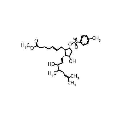 COC(=O)CCCC=CC[C@@H]1[C@@H](C=C[C@H](O)C(C)CC=C(C)C)[C@H](O)C[C@H]1OS(=O)(=O)c1ccc(C)cc1